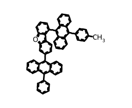 Cc1ccc(-c2c3ccccc3c(-c3cccc4oc5cc(-c6c7ccccc7c(-c7ccccc7)c7ccccc67)ccc5c34)c3ccccc23)cc1